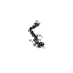 CCc1cc(Nc2ncc(Br)c(Nc3ccc4nccnc4c3P(C)(C)=O)n2)c(OC)cc1N1CCC(N2CCN(C(=O)[C@H]3CCN(c4ccc(C5CCC(=O)NC5=O)cc4)C3)CC2)CC1